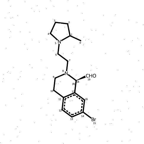 CC1CCCN1CCN1CCc2ccc(Br)cc2[C@@H]1C=O